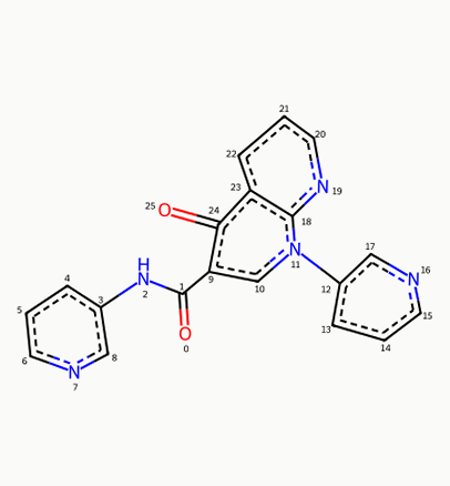 O=C(Nc1cccnc1)c1cn(-c2cccnc2)c2ncccc2c1=O